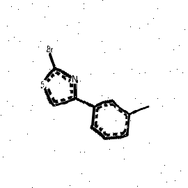 Cc1cccc(-c2csc(Br)n2)c1